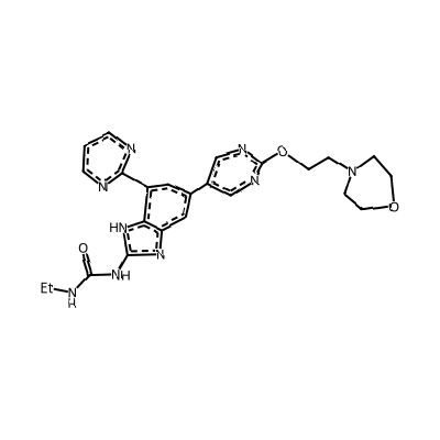 CCNC(=O)Nc1nc2cc(-c3cnc(OCCN4CCOCC4)nc3)cc(-c3ncccn3)c2[nH]1